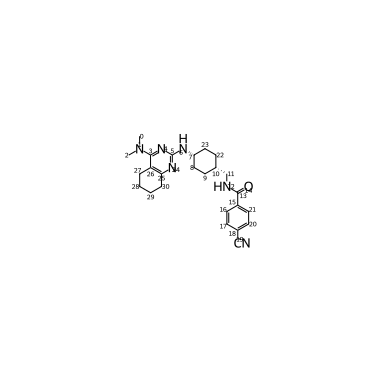 CN(C)c1nc(N[C@H]2CC[C@@H](CNC(=O)c3ccc(C#N)cc3)CC2)nc2c1CCCC2